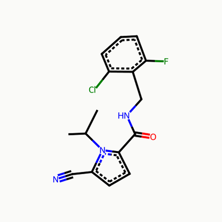 CC(C)n1c(C#N)ccc1C(=O)NCc1c(F)cccc1Cl